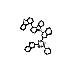 c1ccc(C2=NC(c3cc(-n4c5ccccc5c5c(-c6cccc7oc8ccccc8c67)cccc54)c4ccccc4c3)=NC(c3ccc4ccccc4c3)N2)cc1